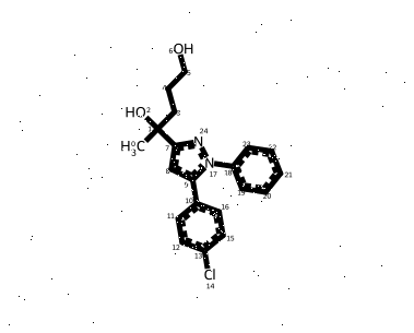 CC(O)(CCCO)c1cc(-c2ccc(Cl)cc2)n(-c2ccccc2)n1